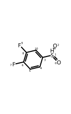 O=[SH](=O)c1ccc(F)c(F)c1